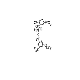 CCCOc1cc(C(F)(F)F)cc(OCCCNS(=O)(=O)c2cc([N+](=O)[O-])ccc2Cl)n1